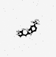 CS(=O)(=O)c1ccc2nc(Cc3cn[nH]c3N)sc2c1